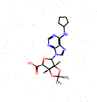 CC1(C)O[C@@H]2[C@H](O1)[C@@H](C(=O)O)O[C@H]2n1cnc2c(NC3CCCC3)ncnc21